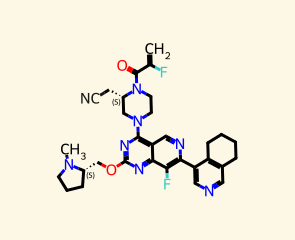 C=C(F)C(=O)N1CCN(c2nc(OC[C@@H]3CCCN3C)nc3c(F)c(-c4cncc5c4CCCC5)ncc23)C[C@@H]1CC#N